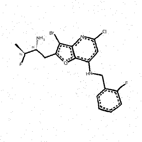 C[C@H](F)[C@H](N)Cc1oc2c(NCc3ccccc3F)cc(Cl)nc2c1Br